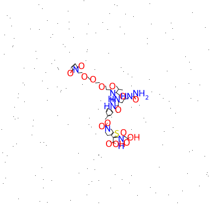 CC(C)[C@H](NC(=O)CCOCCOCCOCCN1C(=O)C=CC1=O)C(=O)N[C@@H](CCCNC(N)=O)C(=O)Nc1ccc(COC(=O)N2CCc3c(sc(NC(=O)C(=O)O)c3C(=O)O)C2)cc1